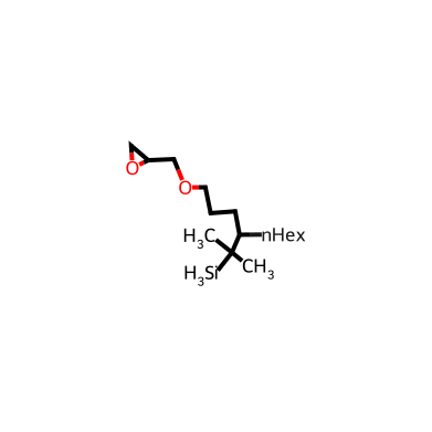 CCCCCCC(CCCOCC1CO1)C(C)(C)[SiH3]